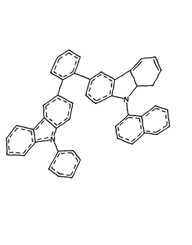 C1=CCC2C(=C1)c1cc(-c3ccccc3-c3ccc4c(c3)c3ccccc3n4-c3ccccc3)ccc1N2c1cccc2ccccc12